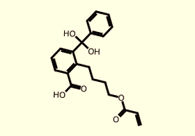 C=CC(=O)OCCCCc1c(C(=O)O)cccc1C(O)(O)c1ccccc1